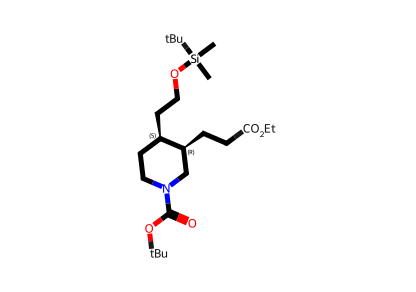 CCOC(=O)CC[C@H]1CN(C(=O)OC(C)(C)C)CC[C@H]1CCO[Si](C)(C)C(C)(C)C